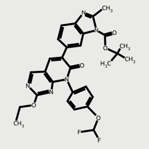 CCOc1ncc2cc(-c3ccc4nc(C)n(C(=O)OC(C)(C)C)c4c3)c(=O)n(-c3ccc(OC(F)F)cc3)c2n1